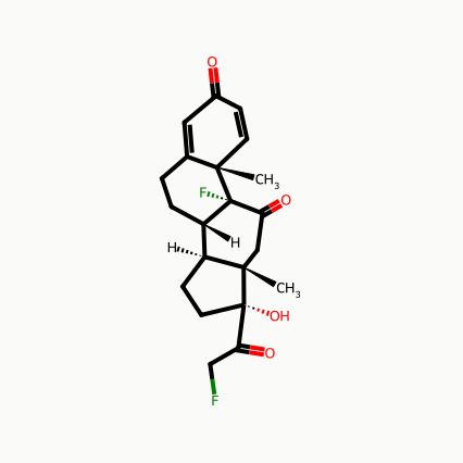 C[C@]12C=CC(=O)C=C1CC[C@H]1[C@@H]3CC[C@](O)(C(=O)CF)[C@@]3(C)CC(=O)[C@@]12F